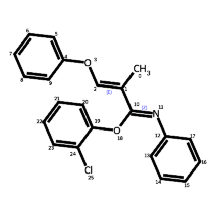 CC(=C\Oc1ccccc1)/C(=N/c1ccccc1)Oc1ccccc1Cl